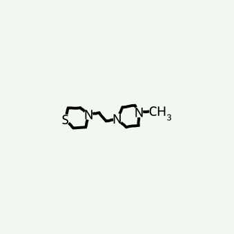 CN1CCN(CCN2CCSCC2)CC1